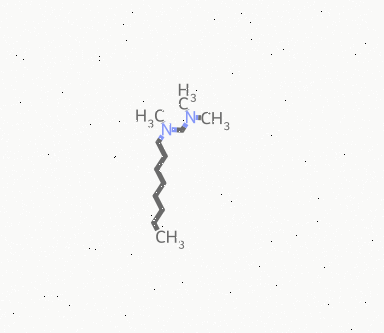 CCCCCCCCN(C)CN(C)C